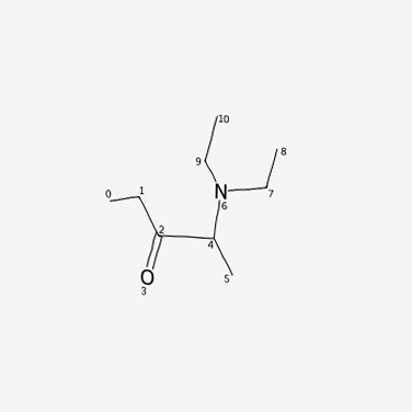 CCC(=O)C(C)N(CC)CC